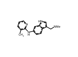 CNCc1c[nH]c2cc(Nc3ncccc3C)ccc12